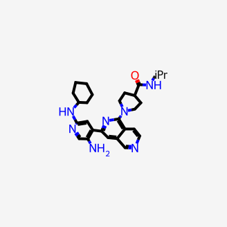 CC(C)NC(=O)C1CCN(c2nc(-c3cc(NC4CCCCC4)ncc3N)cc3cnccc23)CC1